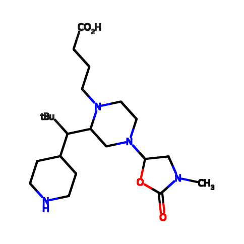 CN1CC(N2CCN(CCCC(=O)O)C(C(C3CCNCC3)C(C)(C)C)C2)OC1=O